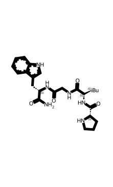 CC[C@H](C)[C@H](NC(=O)[C@@H]1CCCN1)C(=O)NCC(=O)N[C@@H](Cc1c[nH]c2ccccc12)C(N)=O